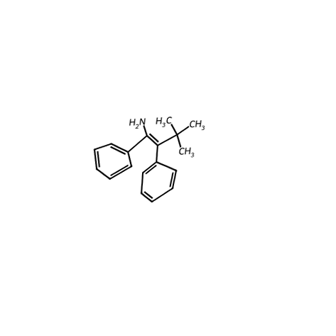 CC(C)(C)C(=C(N)c1ccccc1)c1ccccc1